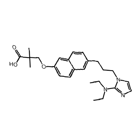 CCN(CC)c1nccn1CCCc1ccc2cc(OCC(C)(C)C(=O)O)ccc2c1